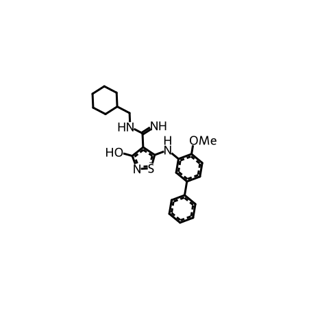 COc1ccc(-c2ccccc2)cc1Nc1snc(O)c1C(=N)NCC1CCCCC1